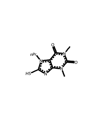 CCCn1c(S)nc2c1c(=O)n(C)c(=O)n2C